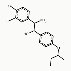 CCC(C)Oc1ccc(C(O)C(N)c2ccc(Cl)c(Cl)c2)cc1